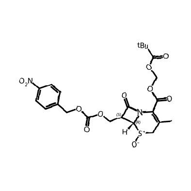 CC1=C(C(=O)OCOC(=O)C(C)(C)C)N2C(=O)[C@H](COC(=O)OCc3ccc([N+](=O)[O-])cc3)[C@H]2[S+]([O-])C1